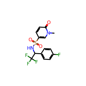 Cn1cc(S(=O)(=O)NC(c2ccc(F)cc2)C(F)(F)F)ccc1=O